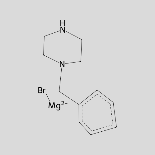 [Mg+2][Br].c1ccc(CN2CCNCC2)cc1